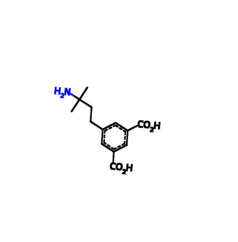 CC(C)(N)CCc1cc(C(=O)O)cc(C(=O)O)c1